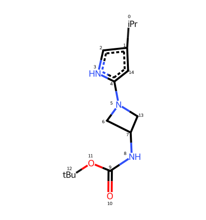 CC(C)c1c[nH]c(N2CC(NC(=O)OC(C)(C)C)C2)c1